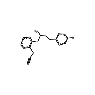 CC(CCc1ccc(Br)cc1)Oc1ccccc1CC#N